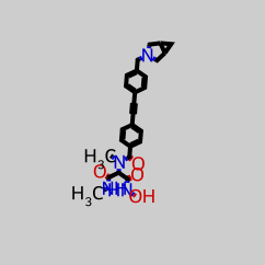 CNC(=O)C(C(=O)NO)N(C)C(=O)c1ccc(C#Cc2ccc(CN3CC4CC4C3)cc2)cc1